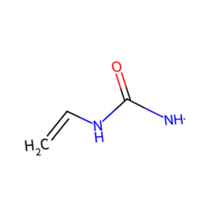 C=CNC([NH])=O